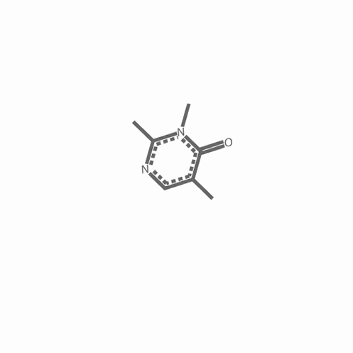 Cc1cnc(C)n(C)c1=O